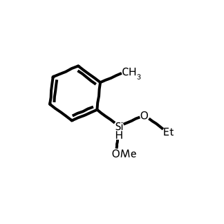 CCO[SiH](OC)c1ccccc1C